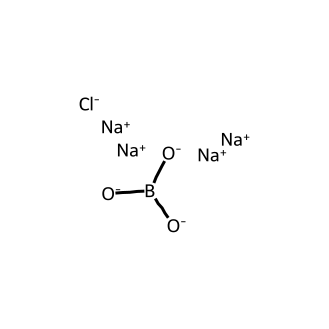 [Cl-].[Na+].[Na+].[Na+].[Na+].[O-]B([O-])[O-]